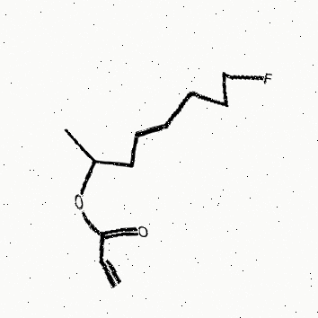 C=CC(=O)OC(C)CCCCCCF